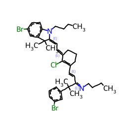 CCCC/N=C(\C=C\C1=C(Cl)C(=C/C=C2/N(CCCC)c3ccc(Br)cc3C2(C)C)/CCC1)C(C)(C)c1cccc(Br)c1